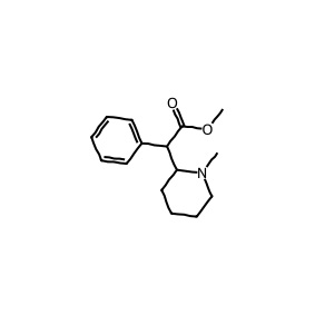 COC(=O)C(c1ccccc1)C1CCCCN1C